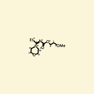 CC/C(=N/C(=O)OCCOC)N1CCOCC1